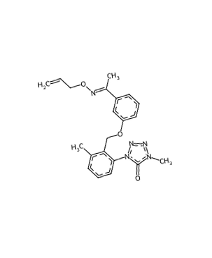 C=CCON=C(C)c1cccc(OCc2c(C)cccc2-n2nnn(C)c2=O)c1